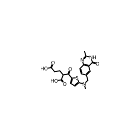 Cc1nc2ccc(CN(C)c3ccc(C(=O)C(CCC(=O)O)C(=O)O)s3)cc2c(=O)[nH]1